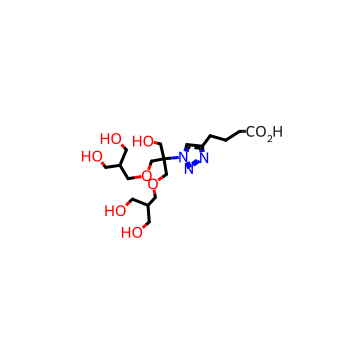 O=C(O)CCCc1cn(C(CO)(COCC(CO)CO)COCC(CO)CO)nn1